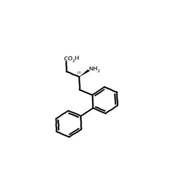 N[C@H](CC(=O)O)Cc1ccccc1-c1ccccc1